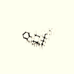 [2H]C1([2H])CN(C([2H])(C([2H])([2H])[2H])C([2H])([2H])C(=O)NN)C([2H])([2H])C([2H])([2H])N1c1ccccc1OC